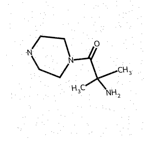 CC(C)(N)C(=O)N1CC[N]CC1